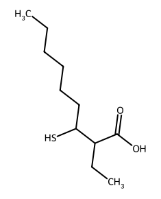 CCCCCCC(S)C(CC)C(=O)O